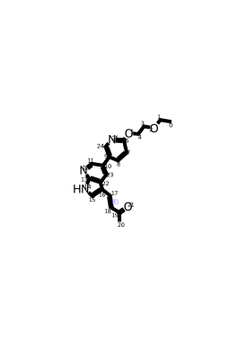 CCOCCOc1ccc(-c2cnc3[nH]cc(/C=C/C(C)=O)c3c2)cn1